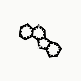 [c]1cccc2ncc3c4ccccc4oc3c12